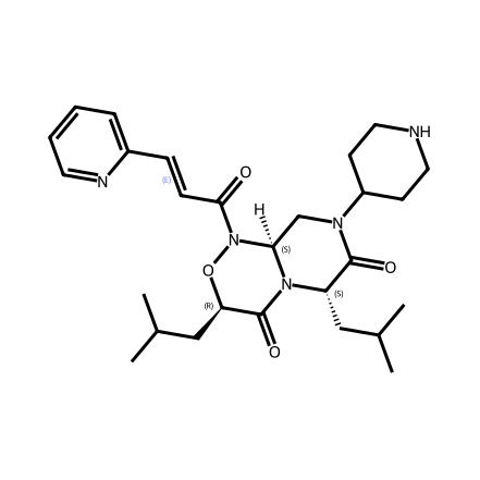 CC(C)C[C@H]1ON(C(=O)/C=C/c2ccccn2)[C@H]2CN(C3CCNCC3)C(=O)[C@H](CC(C)C)N2C1=O